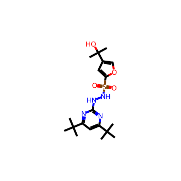 CC(C)(C)c1cc(C(C)(C)C)nc(NNS(=O)(=O)c2cc(C(C)(C)O)co2)n1